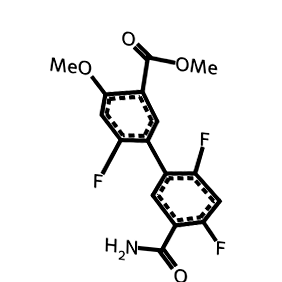 COC(=O)c1cc(-c2cc(C(N)=O)c(F)cc2F)c(F)cc1OC